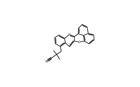 CC(C)(C#N)Cc1cccc2nc3c(cc12)Oc1cccc2cccc-3c12